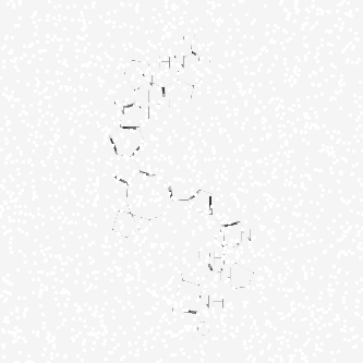 C=C1CC2(CCCC2)CC/C(c2ccc(-c3cnc([C@@H]4CCCN4C(=O)[C@@H](NC(=O)OC)C(C)C)[nH]3)s2)=C\C=C/1c1ccc2nc([C@@H]3CCCN3C(=O)[C@@H](NC(=O)OC)C(C)C)[nH]c2c1